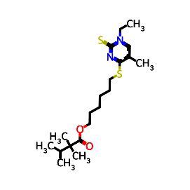 CCn1cc(C)c(SCCCCCCOC(=O)C(C)(C)C(C)C)nc1=S